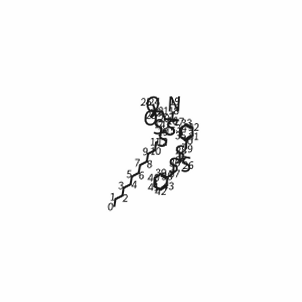 CCCCCCCCCCCCSC(=S)SC(C)(C#N)CCC(=O)OC.S=C(SCc1ccccc1)SCc1ccccc1